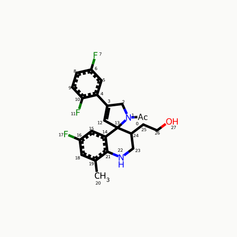 CC(=O)N1CC(c2cc(F)ccc2F)=CC12c1cc(F)cc(C)c1NCC2CCO